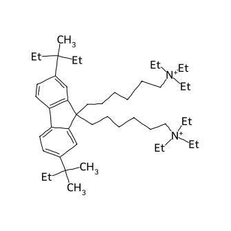 CCC(C)(C)c1ccc2c(c1)C(CCCCCC[N+](CC)(CC)CC)(CCCCCC[N+](CC)(CC)CC)c1cc(C(C)(CC)CC)ccc1-2